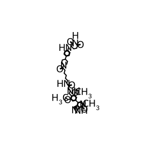 COc1cc(-c2cn(C)c(=O)c3[nH]ncc23)cc(OC)c1CNCC(=O)NCCCCCC(=O)N1CCC(c2ccc(NC3CCC(=O)NC3=O)cc2)CC1